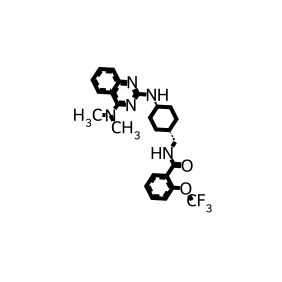 CN(C)c1nc(N[C@H]2CC[C@@H](CNC(=O)c3ccccc3OC(F)(F)F)CC2)nc2ccccc12